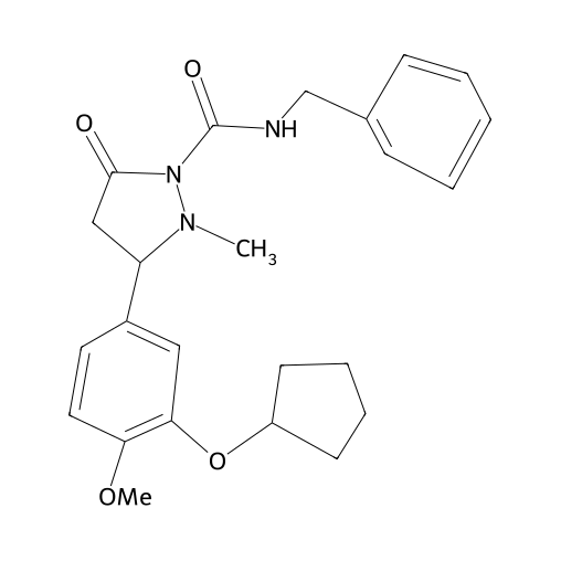 COc1ccc(C2CC(=O)N(C(=O)NCc3ccccc3)N2C)cc1OC1CCCC1